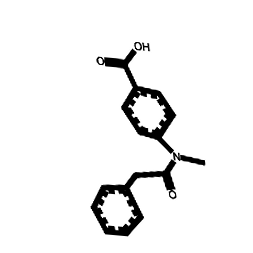 CN(C(=O)Cc1ccccc1)c1ccc(C(=O)O)cc1